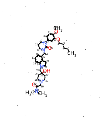 CCCCCOc1cc(N2CCCN(Cc3cccc4c3ccn4CC3(O)CCN(CC(=O)N(C)C)CC3)C2=O)ccc1OC